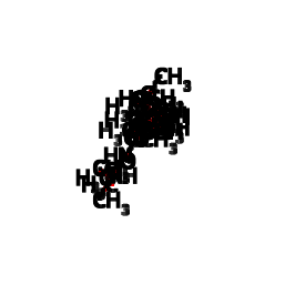 CCCCCCCO[C@@H]1C(C)O[C@@H](OC2C(O)[C@H](O)C(C(=O)O)O[C@H]2OC2C(NC(C)=O)[C@H](OC3C(NC(C)=O)[C@H](OCCCCCNC(=O)CCCCC(=O)NC(CC)(CCCCC)C(C)CCCCCCC)OC(C)[C@@H]3O)OC(C)[C@H]2O[C@@H]2OC(CO)[C@@H](O)C(O)C2O)[C@@H](NC(C)=O)C1O